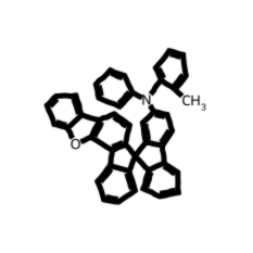 Cc1ccccc1N(c1ccccc1)c1ccc2c(c1)C1(c3ccccc3-2)c2ccccc2-c2c1ccc1c2oc2ccccc21